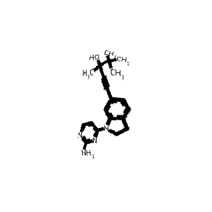 CC(C)(C)C(C)(O)C#Cc1ccc2c(c1)N(c1ccnc(N)n1)CC2